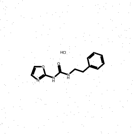 Cl.O=C(NCCc1ccccc1)Nc1ncco1